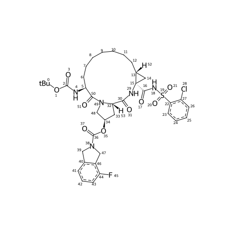 CC(C)(C)OC(=O)N[C@H]1CCCCCCC[C@@H]2C[C@@]2(C(=O)NS(=O)(=O)c2ccccc2Cl)NC(=O)[C@@H]2C[C@@H](OC(=O)N3Cc4cccc(F)c4C3)CN2C1=O